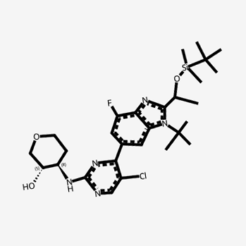 CC(O[Si](C)(C)C(C)(C)C)c1nc2c(F)cc(-c3nc(N[C@@H]4CCOC[C@H]4O)ncc3Cl)cc2n1C(C)(C)C